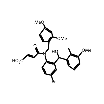 COc1ccc(CN(C(=O)/C=C/C(=O)O)c2ccc(Br)cc2C(O)c2cccc(OC)c2C)c(OC)c1